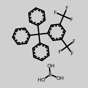 FC(F)(F)c1cc(C(F)(F)F)cc(C(c2ccccc2)(c2ccccc2)c2ccccc2)c1.OB(O)O